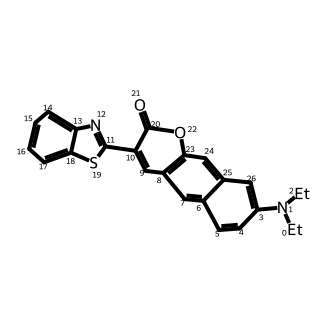 CCN(CC)c1ccc2cc3cc(-c4nc5ccccc5s4)c(=O)oc3cc2c1